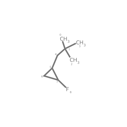 CC(C)(C)CC1CC1F